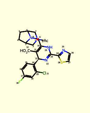 CC(=O)N1CC2CCC(C1)N2CC1=C(C(=O)O)[C@H](c2ccc(F)cc2Cl)N=C(c2nccs2)N1